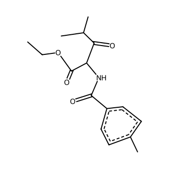 CCOC(=O)C(NC(=O)c1ccc(C)cc1)C(=O)C(C)C